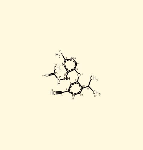 C#Cc1cc(Oc2cnc(N)nc2NNC(C)=O)c(C(C)C)cn1